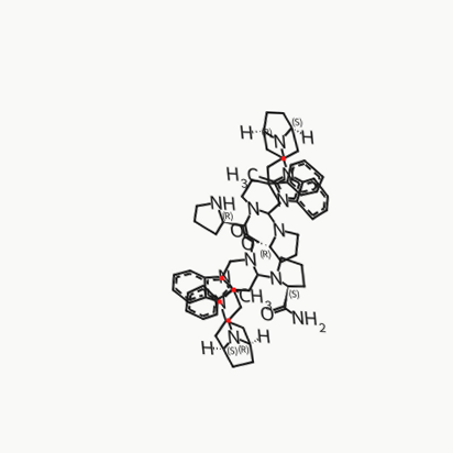 Cc1nc2ccccc2n1C1C[C@H]2CC[C@@H](C1)N2CCC1(c2ccccc2)CCN(C(=O)[C@H]2CCCN2)C(N2CCC[C@@H]2C(=O)N2CCC(CCN3[C@@H]4CC[C@H]3CC(n3c(C)nc5ccccc53)C4)(c3ccccc3)CC2N2CCC[C@H]2C(N)=O)C1